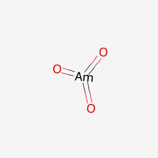 [O]=[Am](=[O])=[O]